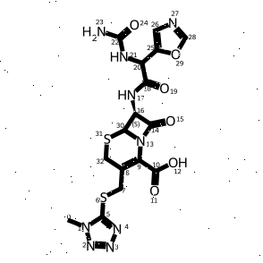 Cn1nnnc1SCC1=C(C(=O)O)N2C(=O)[C@H](NC(=O)C(NC(N)=O)c3cnco3)C2SC1